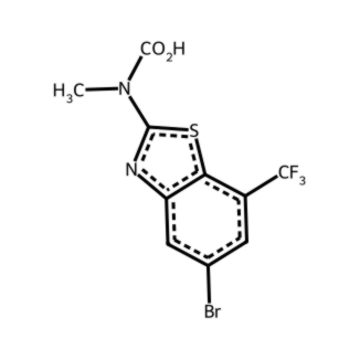 CN(C(=O)O)c1nc2cc(Br)cc(C(F)(F)F)c2s1